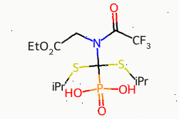 CCOC(=O)CN(C(=O)C(F)(F)F)C(SC(C)C)(SC(C)C)P(=O)(O)O